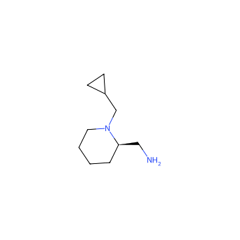 NC[C@H]1CCCCN1CC1CC1